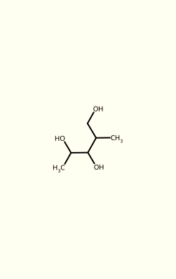 CC(O)C(O)C(C)CO